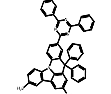 Bc1ccc2c(c1)c1cc(C)cc3c1n2-c1ccc(-c2nc(-c4ccccc4)nc(-c4ccccc4)n2)cc1C3(c1ccccc1)c1ccccc1